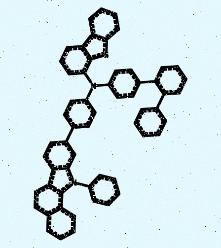 c1ccc(-c2ccccc2-c2ccc(N(c3ccc(-c4ccc5c6ccc7ccccc7c6n(-c6ccccc6)c5c4)cc3)c3cccc4c3sc3ccccc34)cc2)cc1